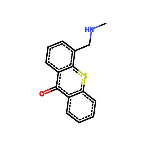 CNCc1cccc2c(=O)c3ccccc3sc12